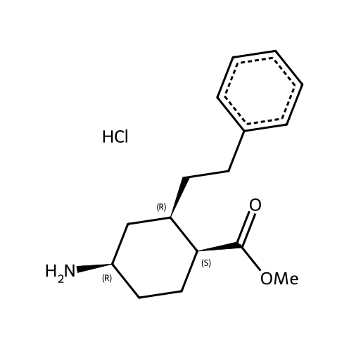 COC(=O)[C@H]1CC[C@@H](N)C[C@H]1CCc1ccccc1.Cl